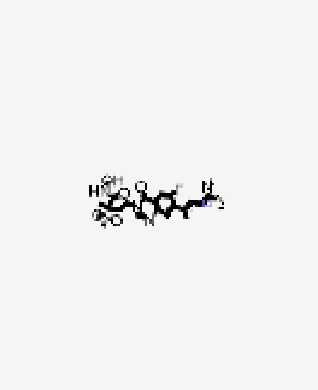 C=N/C(=C\C=C(/C)c1cc2ncn(CCC(C)(C(=O)NO)S(C)(=O)=O)c(=O)c2cc1F)N(C)C